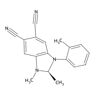 Cc1ccccc1N1c2cc(C#N)c(C#N)cc2N(C)[C@@H]1C